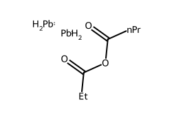 CCCC(=O)OC(=O)CC.[PbH2].[PbH2]